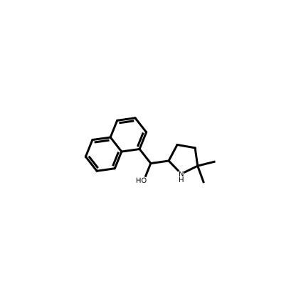 CC1(C)CCC(C(O)c2cccc3ccccc23)N1